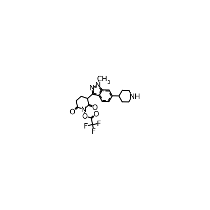 Cn1nc(C2CCC(=O)N(OC(=O)C(F)(F)F)C2=O)c2ccc(C3CCNCC3)cc21